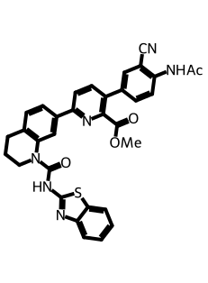 COC(=O)c1nc(-c2ccc3c(c2)N(C(=O)Nc2nc4ccccc4s2)CCC3)ccc1-c1ccc(NC(C)=O)c(C#N)c1